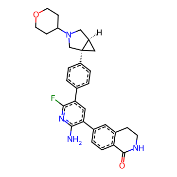 Nc1nc(F)c(-c2ccc([C@@]34C[C@@H]3CN(C3CCOCC3)C4)cc2)cc1-c1ccc2c(c1)CCNC2=O